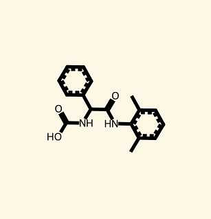 Cc1cccc(C)c1NC(=O)C(NC(=O)O)c1ccccc1